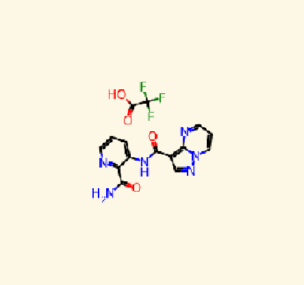 NC(=O)c1ncccc1NC(=O)c1cnn2cccnc12.O=C(O)C(F)(F)F